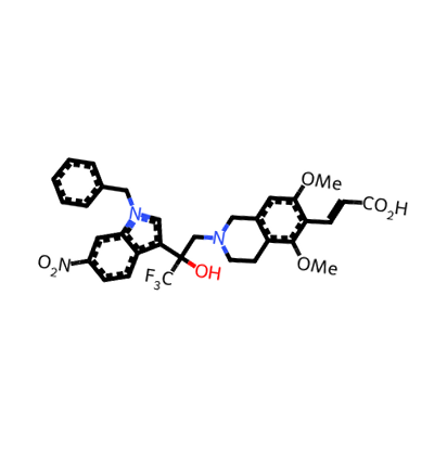 COc1cc2c(c(OC)c1C=CC(=O)O)CCN(CC(O)(c1cn(Cc3ccccc3)c3cc([N+](=O)[O-])ccc13)C(F)(F)F)C2